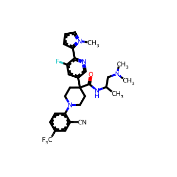 CC(CN(C)C)NC(=O)C1(c2cnc(-c3cccn3C)c(F)c2)CCN(c2ccc(C(F)(F)F)cc2C#N)CC1